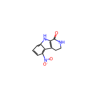 O=C1NCCc2c1[nH]c1cccc([N+](=O)[O-])c21